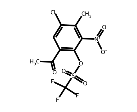 CC(=O)c1cc(Cl)c(C)c([N+](=O)[O-])c1OS(=O)(=O)C(F)(F)F